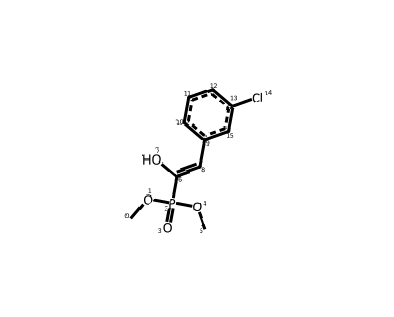 COP(=O)(OC)/C(O)=C/c1cccc(Cl)c1